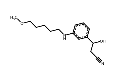 COCCCCCNc1cccc(C(O)CC#N)c1